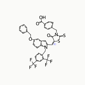 O=C(O)c1ccc(CN2C(=O)/C(=C\c3cc4cc(OCc5ccccc5)ccc4n3Cc3ccc(C(F)(F)F)cc3C(F)(F)F)SC2=S)cc1